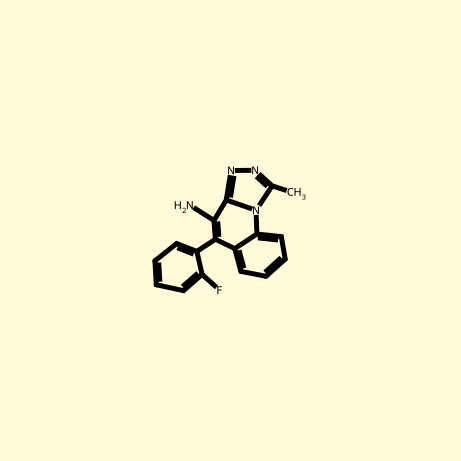 Cc1nnc2c(N)c(-c3ccccc3F)c3ccccc3n12